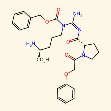 NC(=NC(=O)[C@@H]1CCCN1C(=O)COc1ccccc1)N(CCC[C@H](N)C(=O)O)C(=O)OCc1ccccc1